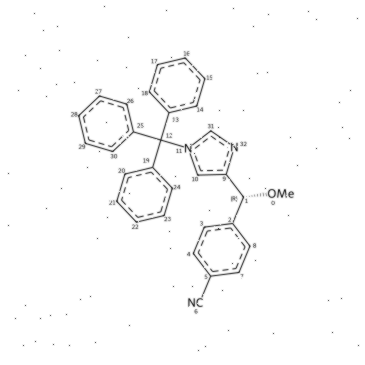 CO[C@H](c1ccc(C#N)cc1)c1cn(C(c2ccccc2)(c2ccccc2)c2ccccc2)cn1